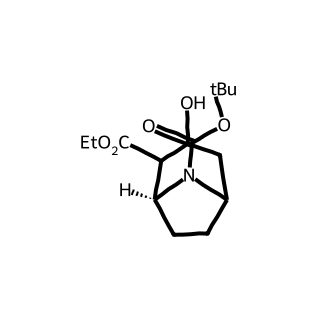 CCOC(=O)C1C(O)CC2CC[C@@H]1N2C(=O)OC(C)(C)C